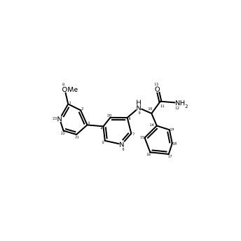 COc1cc(-c2cncc(NC(C(N)=O)c3ccccc3)c2)ccn1